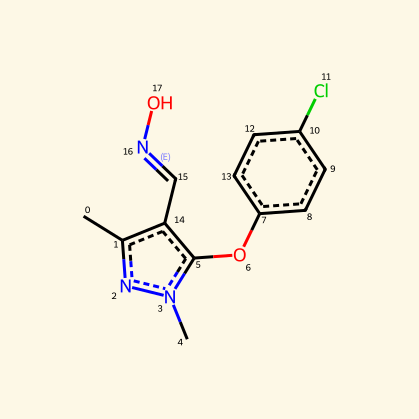 Cc1nn(C)c(Oc2ccc(Cl)cc2)c1/C=N/O